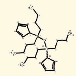 CCCC[Si](CCCC)(O[Si](CCCC)(CCCC)C1C=CC=C1)C1C=CC=C1